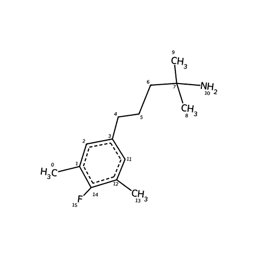 Cc1cc(CCCC(C)(C)N)cc(C)c1F